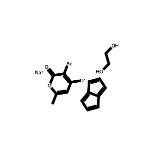 C1=CC2=CC=CC2=C1.CC(=O)c1c([O-])cc(C)oc1=O.OCCO.[Na+]